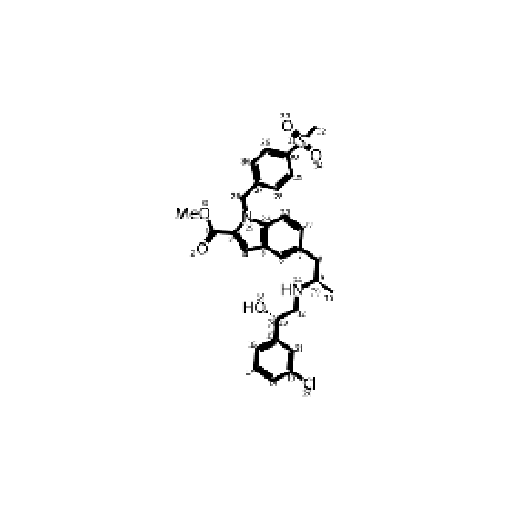 COC(=O)c1cc2cc(C[C@@H](C)NC[C@@H](O)c3cccc(Cl)c3)ccc2n1Cc1ccc(S(C)(=O)=O)cc1